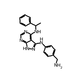 CC(Nc1ncnc2[nH]nc(Nc3ccc(CN)cc3)c12)c1ccccc1